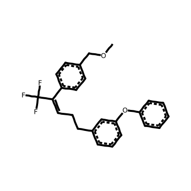 COCc1ccc(/C(=C\CCc2cccc(Oc3ccccc3)c2)C(F)(F)F)cc1